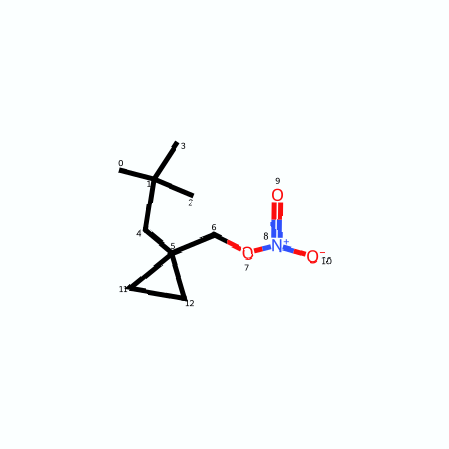 CC(C)(C)CC1(CO[N+](=O)[O-])CC1